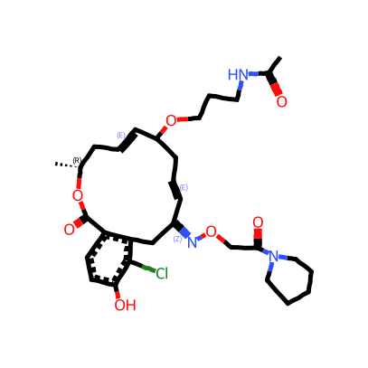 CC(=O)NCCCOC1/C=C/C[C@@H](C)OC(=O)c2ccc(O)c(Cl)c2CC(=N/OCC(=O)N2CCCCC2)/C=C/C1